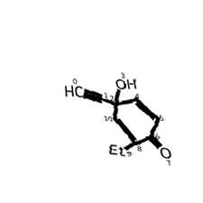 C#CC1(O)C=CC(=O)C(CC)=C1